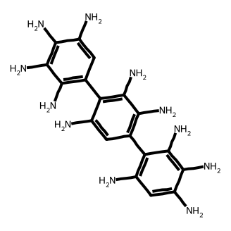 Nc1cc(-c2c(N)cc(-c3c(N)cc(N)c(N)c3N)c(N)c2N)c(N)c(N)c1N